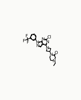 CCN1CCN(C2CN(c3nc(Cl)nc4c3cnn4-c3cccc(C(F)(F)F)c3)C2)C(=O)C1